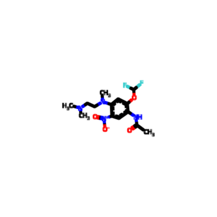 CC(=O)Nc1cc([N+](=O)[O-])c(N(C)CCN(C)C)cc1OC(F)F